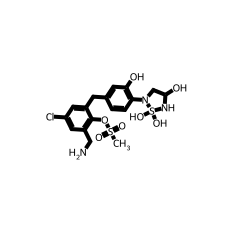 CS(=O)(=O)Oc1c(CN)cc(Cl)cc1Cc1ccc(N2CC(O)NS2(O)O)c(O)c1